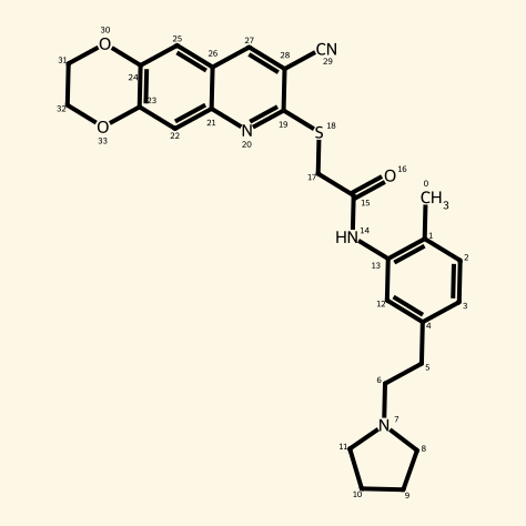 Cc1ccc(CCN2CCCC2)cc1NC(=O)CSc1nc2cc3c(cc2cc1C#N)OCCO3